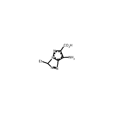 CCC1N=Nc2c(N)c(C(=O)O)nn21